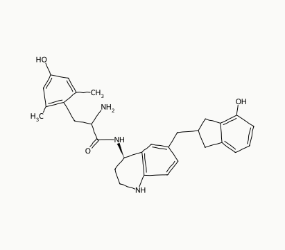 Cc1cc(O)cc(C)c1CC(N)C(=O)N[C@@H]1CCNc2ccc(CC3Cc4cccc(O)c4C3)cc21